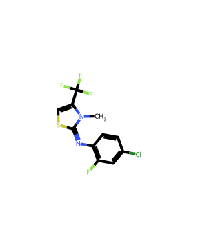 Cn1c(C(F)(F)F)csc1=Nc1ccc(Cl)cc1F